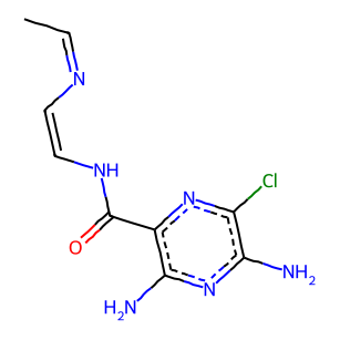 C/C=N\C=C/NC(=O)c1nc(Cl)c(N)nc1N